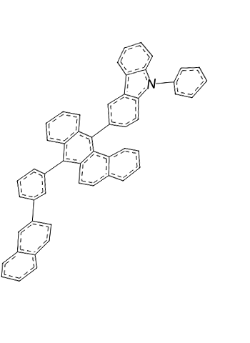 c1ccc(-n2c3ccccc3c3cc(-c4c5ccccc5c(-c5cccc(-c6ccc7ccccc7c6)c5)c5ccc6ccccc6c45)ccc32)cc1